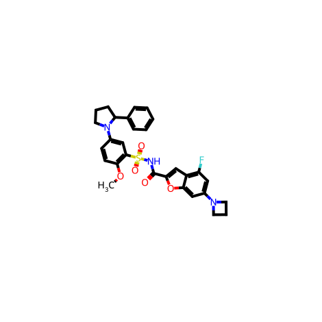 COc1ccc(N2CCCC2c2ccccc2)cc1S(=O)(=O)NC(=O)c1cc2c(F)cc(N3CCC3)cc2o1